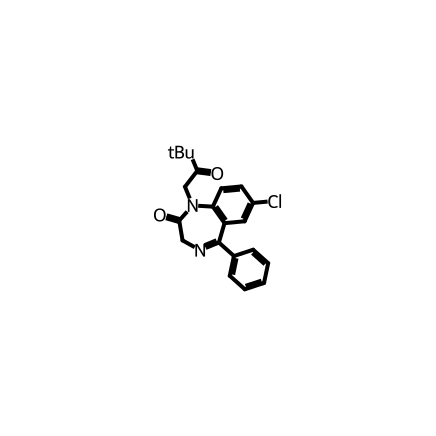 CC(C)(C)C(=O)CN1C(=O)CN=C(c2ccccc2)c2cc(Cl)ccc21